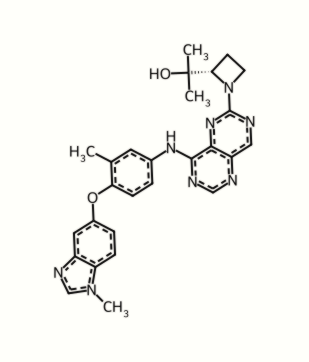 Cc1cc(Nc2ncnc3cnc(N4CC[C@H]4C(C)(C)O)nc23)ccc1Oc1ccc2c(c1)ncn2C